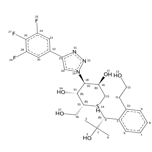 CC(C)(O)[C@@H](c1ccccc1CCO)[SH]1C[C@H](O)[C@H](n2cc(-c3cc(F)c(F)c(F)c3)nn2)[C@@H](O)[C@H]1CO